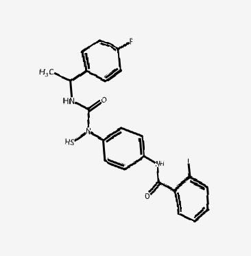 CC(NC(=O)N(S)c1ccc(NC(=O)c2ccccc2I)cc1)c1ccc(F)cc1